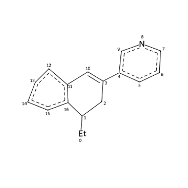 CCC1CC(c2cccnc2)=Cc2ccccc21